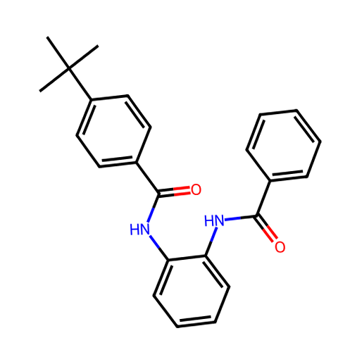 CC(C)(C)c1ccc(C(=O)Nc2ccccc2NC(=O)c2ccccc2)cc1